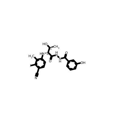 Cc1c(N[C@@H](C(=O)NNC(=O)c2cccc(O)c2)[C@H](C)O)ccc(C#N)c1I